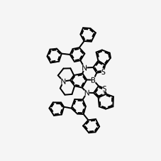 c1ccc(-c2cc(-c3ccccc3)cc(N3c4c5c6c(c7c4B(c4sc8ccccc8c43)c3sc4ccccc4c3N7c3cc(-c4ccccc4)cc(-c4ccccc4)c3)CCCN6CCC5)c2)cc1